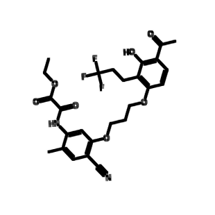 CCOC(=O)C(=O)Nc1cc(OCCCOc2ccc(C(C)=O)c(O)c2CCC(F)(F)F)c(C#N)cc1C